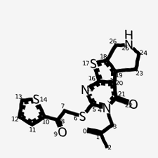 C=C(C)Cn1c(SCC(=O)c2cccs2)nc2sc3c(c2c1=O)CCNC3